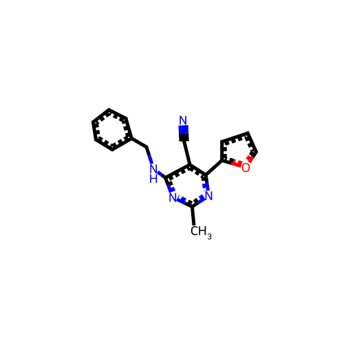 Cc1nc(NCc2ccccc2)c(C#N)c(-c2ccco2)n1